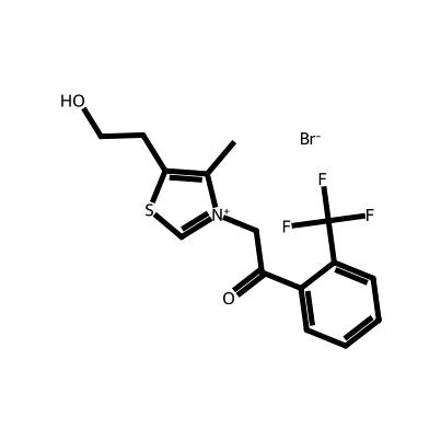 Cc1c(CCO)sc[n+]1CC(=O)c1ccccc1C(F)(F)F.[Br-]